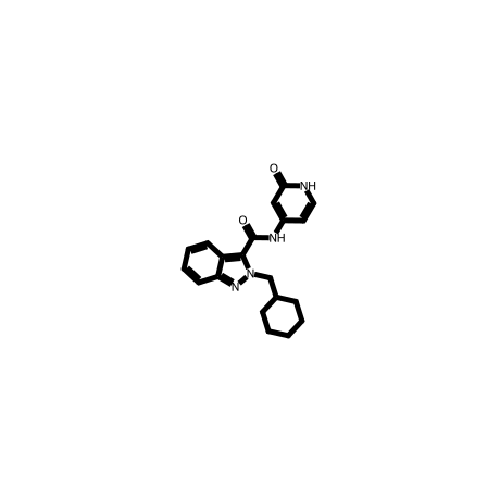 O=C(Nc1cc[nH]c(=O)c1)c1c2ccccc2nn1CC1CCCCC1